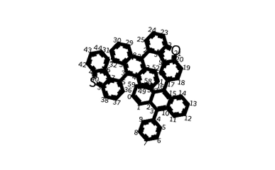 C1=CC2C(c3ccccc3)=c3ccccc3=C(c3ccc4oc5cccc(-c6c7ccccc7c(-c7cccc8sc9ccccc9c78)c7ccccc67)c5c4c3)C2C=C1